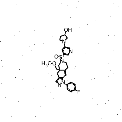 COC[C@]12Cc3cnn(-c4ccc(F)cc4)c3C=C1CCN([S+]([O-])c1cncc(N3CC[C@@H](O)C3)c1)C2